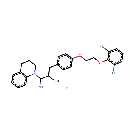 Cl.NC(C(C=O)Cc1ccc(OCCOc2c(Cl)cccc2Cl)cc1)N1CCCc2ccccc21